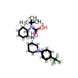 CC(C)(C)N(C(=O)O)[C@@H]1CCCC[C@H]1N[C@H]1CCCN(c2ccc(C(F)(F)F)cc2)C1